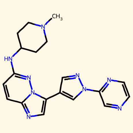 CN1CCC(Nc2ccc3ncc(-c4cnn(-c5cnccn5)c4)n3n2)CC1